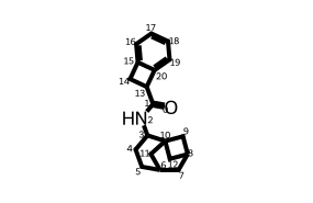 O=C(NC1CCC2CC3CC1(C2)C3)C1Cc2ccccc21